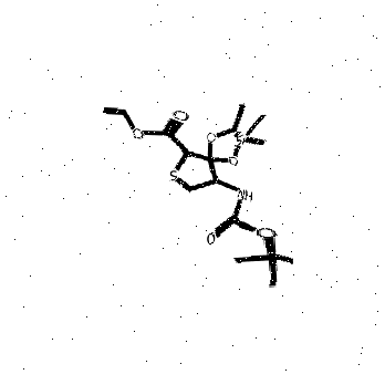 CCOC(=O)C1SCC(NC(=O)OC(C)(C)C)C1(OCC)O[Si](C)(C)C